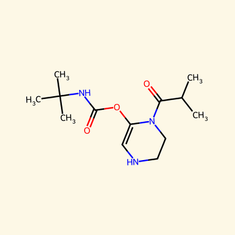 CC(C)C(=O)N1CCNC=C1OC(=O)NC(C)(C)C